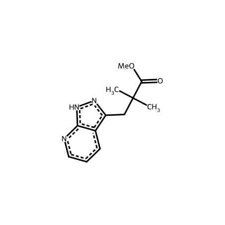 COC(=O)C(C)(C)Cc1n[nH]c2ncccc12